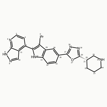 CC(C)c1c(-c2ccnc3[nH]ncc23)[nH]c2ccc(-c3nnc([C@H]4CCCNC4)o3)cc12